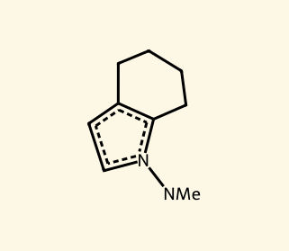 CNn1ccc2c1CCCC2